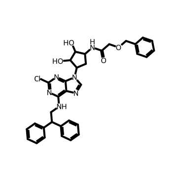 O=C(COCc1ccccc1)NC1CC(n2cnc3c(NCC(c4ccccc4)c4ccccc4)nc(Cl)nc32)C(O)C1O